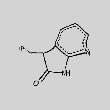 CC(C)C1C(=O)Nc2ncccc21